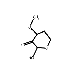 COC1CCOC(O)C1=O